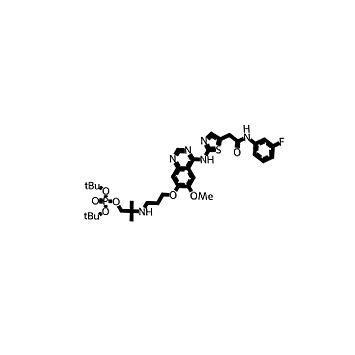 COc1cc2c(Nc3ncc(CC(=O)Nc4cccc(F)c4)s3)ncnc2cc1OCCCNC(C)(C)COP(=O)(OC(C)(C)C)OC(C)(C)C